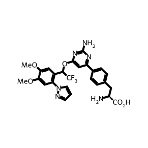 COc1cc(C(Oc2cc(-c3ccc(C[C@H](N)C(=O)O)cc3)nc(N)n2)C(F)(F)F)c(-n2cccn2)cc1OC